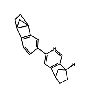 c1cc2c(cc1-c1cc3c(cn1)[C@@H]1CCC3C1)C13CCC21C3